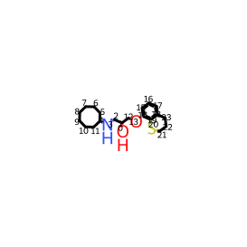 OC(CNC1CCCCCCC1)COc1cccc2c1SCCC2